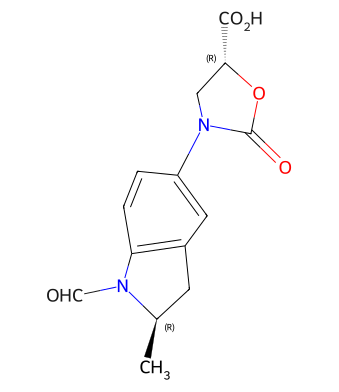 C[C@@H]1Cc2cc(N3C[C@H](C(=O)O)OC3=O)ccc2N1C=O